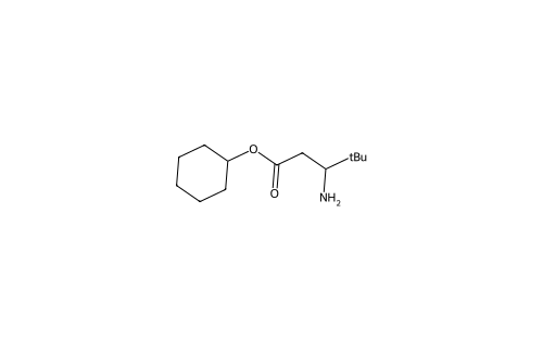 CC(C)(C)C(N)CC(=O)OC1CCCCC1